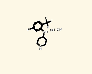 Cl.Cl.Fc1ccc(C(F)(F)F)c(NC2CCNCC2)c1